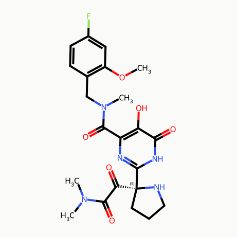 COc1cc(F)ccc1CN(C)C(=O)c1nc([C@]2(C(=O)C(=O)N(C)C)CCCN2)[nH]c(=O)c1O